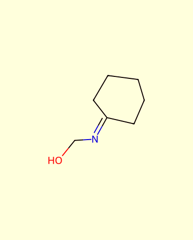 OCN=C1CCCCC1